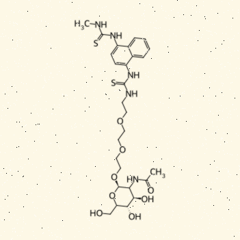 CNC(=S)Nc1ccc(NC(=S)NCCOCCOCCO[C@@H]2OC(CO)[C@@H](O)[C@H](O)C2NC(C)=O)c2ccccc12